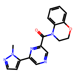 Cn1nccc1-c1cncc(C(=O)N2CCOc3ccccc32)n1